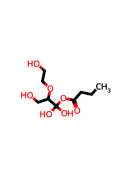 CCCC(=O)OC(O)(O)C(CO)OCCO